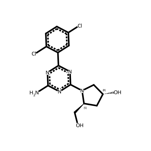 Nc1nc(-c2cc(Cl)ccc2Cl)nc(N2C[C@H](O)C[C@H]2CO)n1